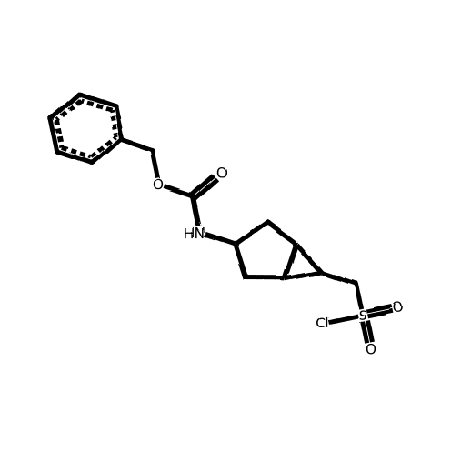 O=C(NC1CC2C(C1)C2CS(=O)(=O)Cl)OCc1ccccc1